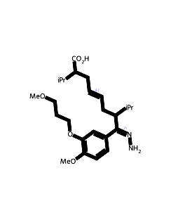 COCCCOc1cc(/C(=N\N)C(C/C=C/CC(C(=O)O)C(C)C)C(C)C)ccc1OC